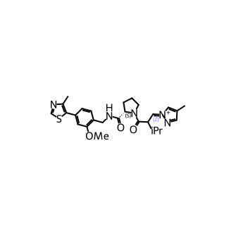 COc1cc(-c2scnc2C)ccc1CNC(=O)[C@@H]1CCCN1C(=O)C(/C=[N+]1/C=C(C)C=N1)C(C)C